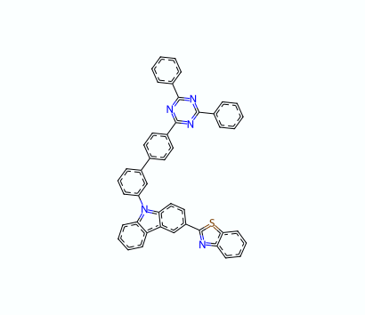 c1ccc(-c2nc(-c3ccccc3)nc(-c3ccc(-c4cccc(-n5c6ccccc6c6cc(-c7nc8ccccc8s7)ccc65)c4)cc3)n2)cc1